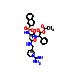 CC(=O)OC(=O)C(NC(=O)[C@H](CC(=O)NC[C@@H]1CCCN(C(=N)N)C1)NS(=O)(=O)c1ccc2ccccc2c1)c1ccccc1